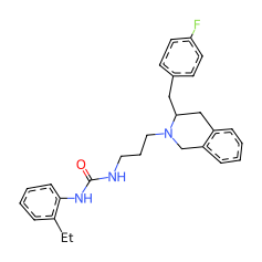 CCc1ccccc1NC(=O)NCCCN1Cc2ccccc2CC1Cc1ccc(F)cc1